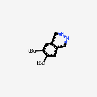 CC(C)(C)c1cc2cnncc2cc1C(C)(C)C